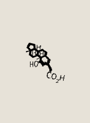 C[C@@]12CCC[C@H]1[C@@H]1CCC3CC(CC(=O)O)C=C(O)[C@]3(C)[C@@H]1CC2